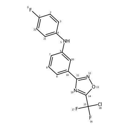 Fc1ccc(Nc2cccc(-c3noc(C(F)(F)Cl)n3)c2)cc1